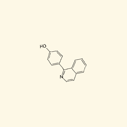 Oc1ccc(-c2nccc3ccccc23)cc1